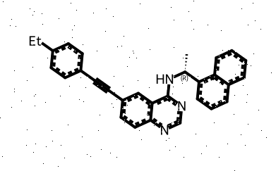 CCc1ccc(C#Cc2ccc3ncnc(N[C@H](C)c4cccc5ccccc45)c3c2)cc1